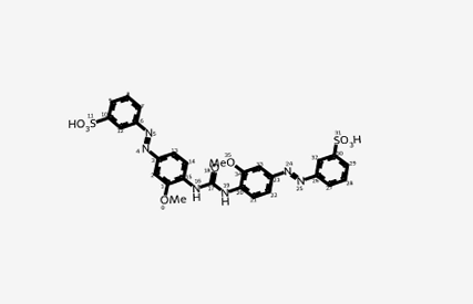 COc1cc(N=Nc2cccc(S(=O)(=O)O)c2)ccc1NC(=O)Nc1ccc(N=Nc2cccc(S(=O)(=O)O)c2)cc1OC